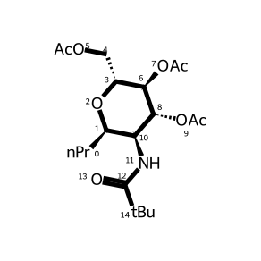 CCC[C@H]1O[C@H](COC(C)=O)[C@@H](OC(C)=O)[C@H](OC(C)=O)[C@H]1NC(=O)C(C)(C)C